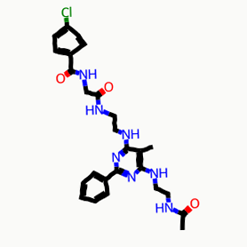 CC(=O)NCCNc1nc(-c2ccccc2)nc(NCCNC(=O)CNC(=O)c2ccc(Cl)cc2)c1C